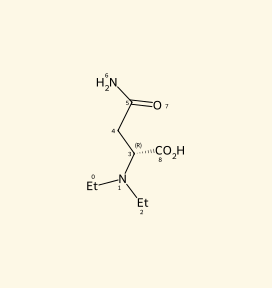 CCN(CC)[C@H](CC(N)=O)C(=O)O